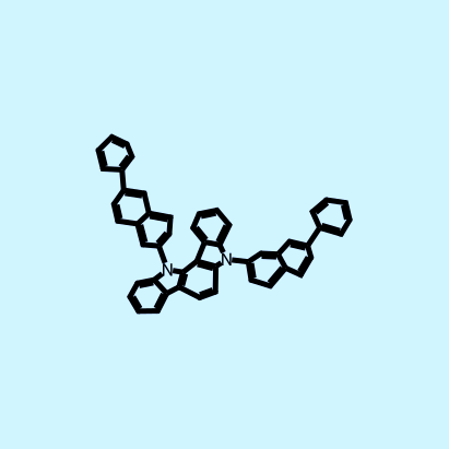 c1ccc(-c2ccc3cc(-n4c5ccccc5c5ccc6c(c7ccccc7n6-c6ccc7ccc(-c8ccccc8)cc7c6)c54)ccc3c2)cc1